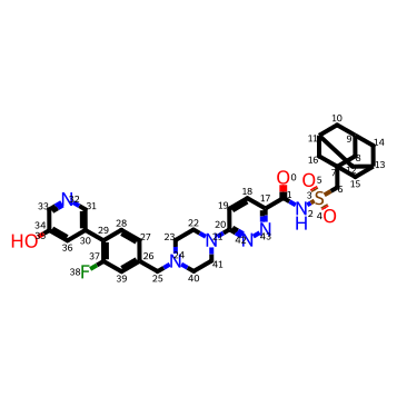 O=C(NS(=O)(=O)CC12CC3CC(CC(C3)C1)C2)c1ccc(N2CCN(Cc3ccc(-c4cncc(O)c4)c(F)c3)CC2)nn1